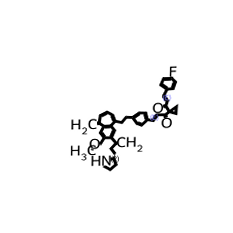 C=C(CC[C@@H]1CCCN1)c1cc2c(cc1COC)C(=C)C=CC=C2CCc1ccc(/C=C/C(=O)C2(C(=O)/C=C/c3ccc(F)cc3)CC2)cc1